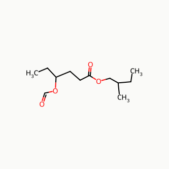 CCC(C)COC(=O)CCC(CC)OC=O